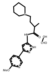 COc1ccc(-c2cc(NC(=O)C(C)CCN3CCCCC3)[nH]n2)cn1.O=CO